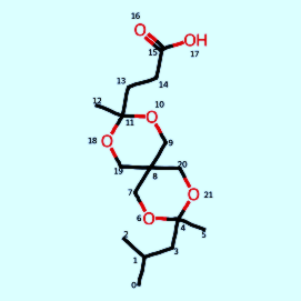 CC(C)CC1(C)OCC2(COC(C)(CCC(=O)O)OC2)CO1